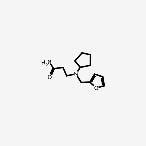 NC(=O)CCN(Cc1ccco1)C1CCCC1